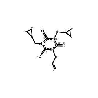 C=CCn1c(=O)n(CC2CC2)c(=O)n(CC2CC2)c1=O